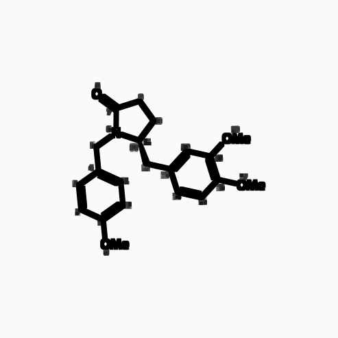 COc1ccc(CN2C(=O)CC[C@H]2Cc2ccc(OC)c(OC)c2)cc1